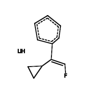 FC=C(c1ccccc1)C1CC1.[LiH]